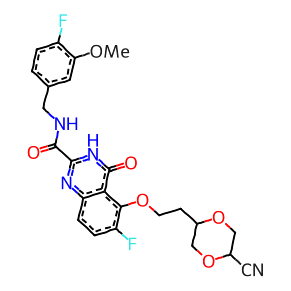 COc1cc(CNC(=O)c2nc3ccc(F)c(OCCC4COC(C#N)CO4)c3c(=O)[nH]2)ccc1F